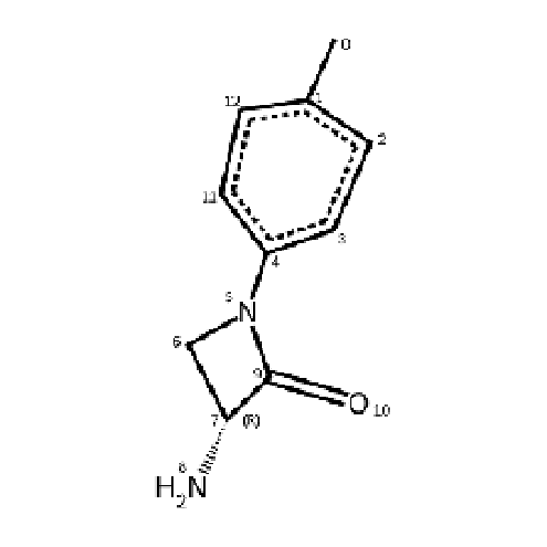 Cc1ccc(N2C[C@@H](N)C2=O)cc1